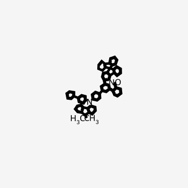 CC1(C)c2ccccc2-c2c(N(c3ccc(-c4ccccc4)cc3)c3ccc(-c4cc5c6ccccc6c(=O)n6c7c8c(ccc7c(c4)c56)C4(C5=C(C=CCC5)c5ccccc54)c4ccccc4-8)cc3)cccc21